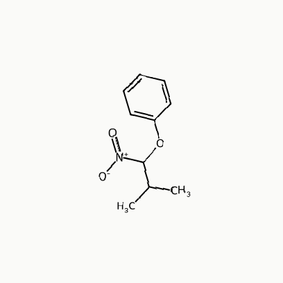 CC(C)C(Oc1ccccc1)[N+](=O)[O-]